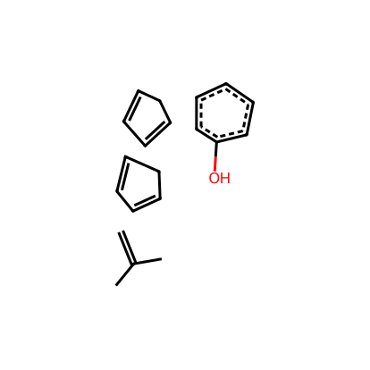 C1=CCC=C1.C1=CCC=C1.C=C(C)C.Oc1ccccc1